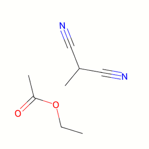 CC(C#N)C#N.CCOC(C)=O